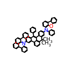 CC1(C)c2cc(N(c3ccccc3)c3cccc4c3oc3ccccc34)ccc2-c2c(-c3ccccc3)c3ccc(N(c4ccccc4-c4ccccc4)c4ccccc4-c4ccccc4)cc3c3cccc1c23